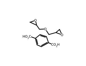 C(OCC1CO1)C1CO1.O=C(O)c1ccc(C(=O)O)cc1